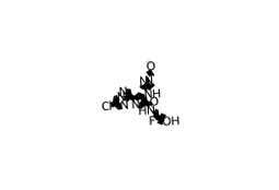 COCCn1cc(Nc2cc(-c3cnn4cc(Cl)cnc34)ncc2C(=O)NCC(F)C(C)(C)O)cn1